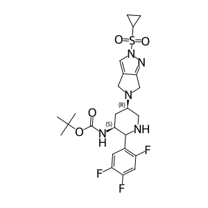 CC(C)(C)OC(=O)N[C@H]1C[C@@H](N2Cc3cn(S(=O)(=O)C4CC4)nc3C2)CNC1c1cc(F)c(F)cc1F